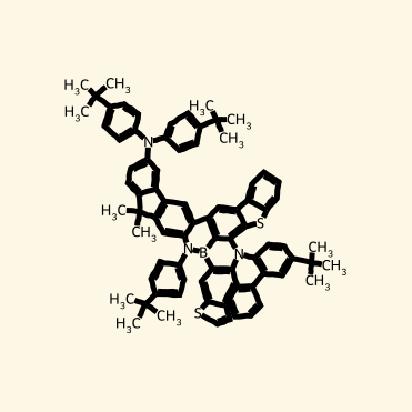 CC(C)(C)c1ccc(N2B3c4cc5sccc5cc4N(c4ccc(C(C)(C)C)cc4-c4ccccc4)c4c3c(cc3c4sc4ccccc43)-c3cc4c(cc32)C(C)(C)c2ccc(N(c3ccc(C(C)(C)C)cc3)c3ccc(C(C)(C)C)cc3)cc2-4)cc1